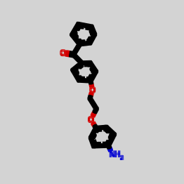 Nc1ccc(OCCOc2ccc(C(=O)c3ccccc3)cc2)cc1